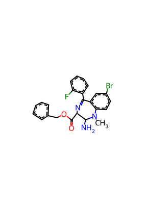 CN1c2ccc(Br)cc2C(c2ccccc2F)=NC(C(=O)OCc2ccccc2)C1N